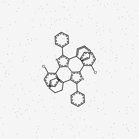 Clc1ccccc1-c1nc(-c2ccccc2)c(C2=C=C=CC=C2)n1-n1c(-c2ccccc2Cl)nc(-c2ccccc2)c1C1=CC=CCC1